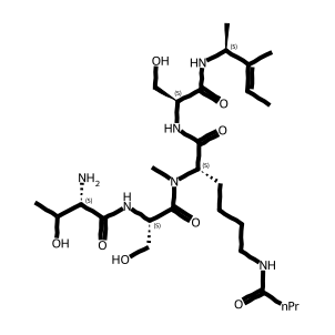 CC=C(C)[C@H](C)NC(=O)[C@H](CO)NC(=O)[C@H](CCCCNC(=O)CCC)N(C)C(=O)[C@H](CO)NC(=O)[C@@H](N)C(C)O